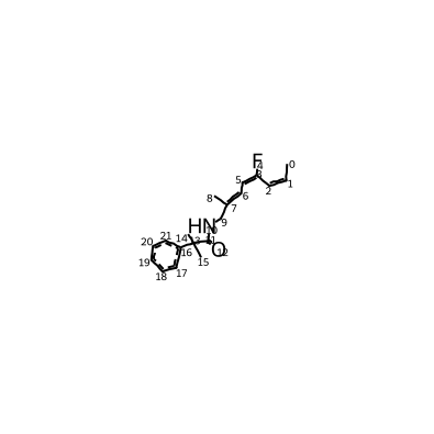 C\C=C/C(F)=C\C=C(/C)CNC(=O)C(C)(C)c1ccccc1